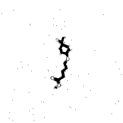 COC(=O)CCCCOc1ccc(C(C)=O)cc1